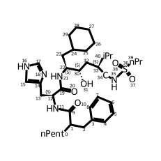 CCCCCC(Cc1ccccc1)C(=O)N[C@@H](Cc1c[nH]cn1)C(=O)N[C@@H](CC1CCCCC1)[C@@H](O)C[C@H](CNS(=O)(=O)CCC)C(C)C